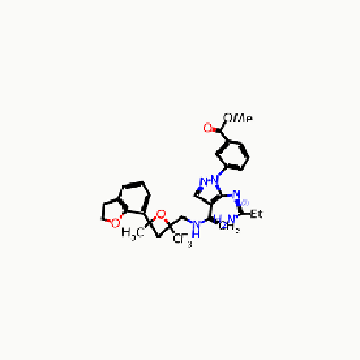 C=C(NCC1(C(F)(F)F)CC(C)(c2cccc3c2OCC3)O1)c1cnn(-c2cccc(C(=O)OC)c2)c1/N=C(\N)CC